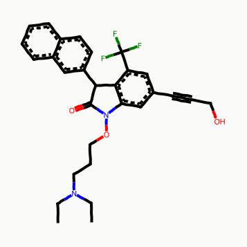 CCN(CC)CCCON1C(=O)C(c2ccc3ccccc3c2)c2c1cc(C#CCO)cc2C(F)(F)F